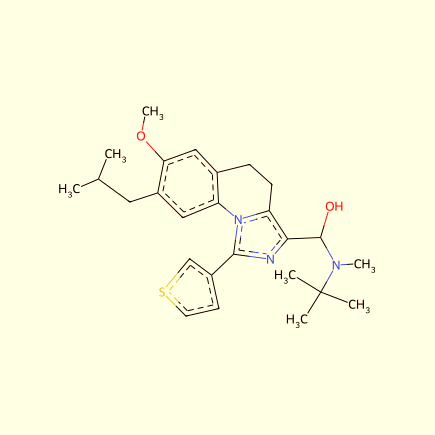 COc1cc2c(cc1CC(C)C)-n1c(-c3ccsc3)nc(C(O)N(C)C(C)(C)C)c1CC2